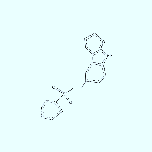 O=S(=O)(CCc1ccc2[nH]c3ncccc3c2c1)c1ccccc1